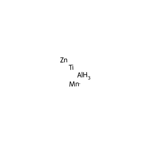 [AlH3].[Mn].[Ti].[Zn]